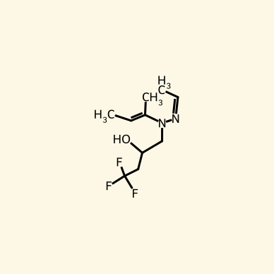 C/C=N\N(CC(O)CC(F)(F)F)/C(C)=C/C